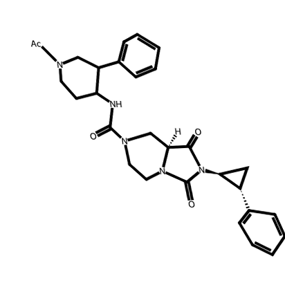 CC(=O)N1CCC(NC(=O)N2CCN3C(=O)N([C@H]4C[C@@H]4c4ccccc4)C(=O)[C@@H]3C2)C(c2ccccc2)C1